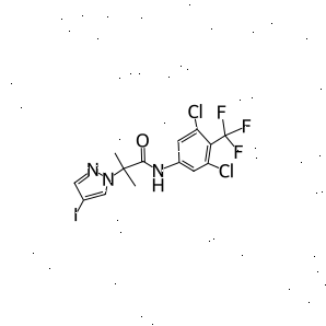 CC(C)(C(=O)Nc1cc(Cl)c(C(F)(F)F)c(Cl)c1)n1cc(I)cn1